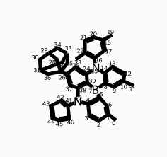 Cc1ccc2c(c1)B1c3cc(C)ccc3N(c3cc(C)ccc3C)c3cc(C45CC6CC(CC(C6)C4)C5)cc(c31)N2c1ccccc1